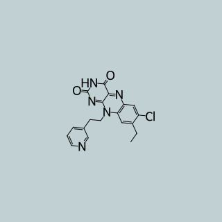 CCc1cc2c(cc1Cl)nc1c(=O)[nH]c(=O)nc-1n2CCc1cccnc1